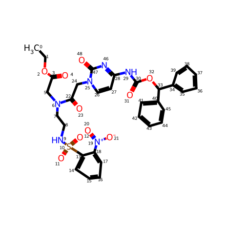 CCOC(=O)CN(CCNS(=O)(=O)c1ccccc1[N+](=O)[O-])C(=O)Cn1ccc(NC(=O)OC(c2ccccc2)c2ccccc2)nc1=O